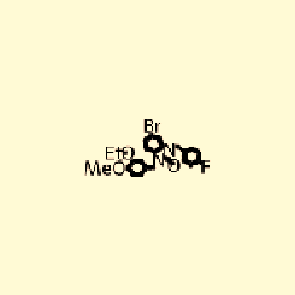 CCOc1cc(Cn2c(=O)n(Cc3ccc(F)cc3)c3cc(Br)ccc32)ccc1OC